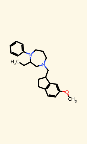 CCC1CN(CC2CCc3ccc(OC)cc32)CCCN1c1ccccc1